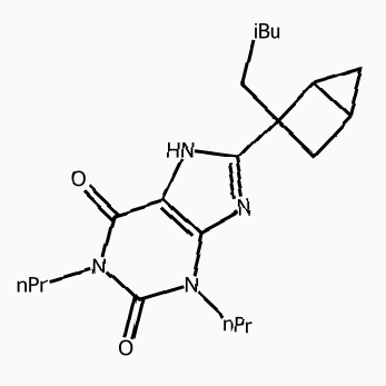 CCCn1c(=O)c2[nH]c(C3(CC(C)CC)CC4CC43)nc2n(CCC)c1=O